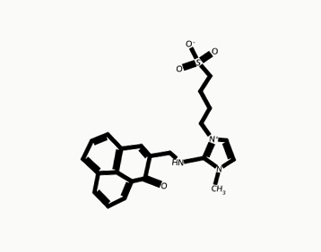 Cn1cc[n+](CCCCS(=O)(=O)[O-])c1NCC1=Cc2cccc3cccc(c23)C1=O